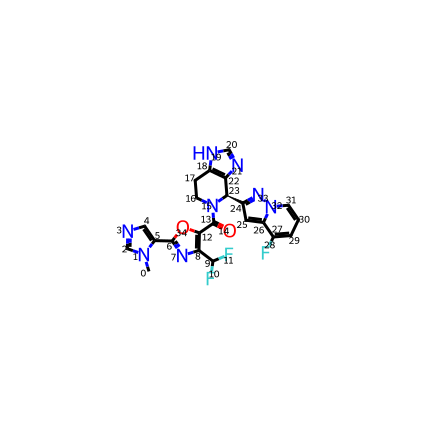 Cn1cncc1-c1nc(C(F)F)c(C(=O)N2CCc3[nH]cnc3[C@H]2c2cc3c(F)cccn3n2)o1